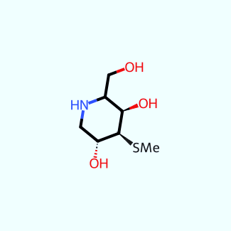 CS[C@H]1[C@H](O)CNC(CO)[C@H]1O